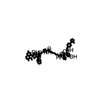 CCc1c(C)ccc2cc(C)cc(-c3ncc4c(N5CC6CCC(C5)N6)nc(OC[C@@H]5CCC(C(=O)CCCCCCCC(=O)N[C@H](C(=O)N6C[C@H](O)C[C@@H]6C(=O)NCc6ccc(C7=C(C)C=CC7)cc6)C(C)(C)C)N5)nc4c3O)c12